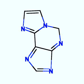 C1=NC2=NCn3ccnc3C2=N1